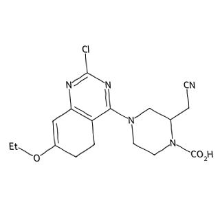 CCOC1=Cc2nc(Cl)nc(N3CCN(C(=O)O)C(CC#N)C3)c2CC1